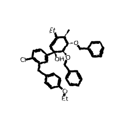 CCOc1ccc(Cc2cc([C@]3(O)C=C(CC)[C@@H](C)[C@H](OCc4ccccc4)[C@H]3OCc3ccccc3)ccc2Cl)cc1